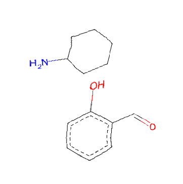 NC1CCCCC1.O=Cc1ccccc1O